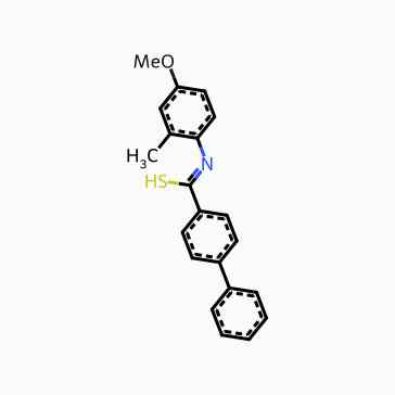 COc1ccc(/N=C(\S)c2ccc(-c3ccccc3)cc2)c(C)c1